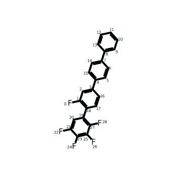 Fc1cc(-c2ccc(-c3ccccc3)cc2)ccc1-c1cc(F)c(F)c(F)c1F